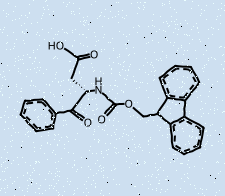 O=C(O)C[C@H](NC(=O)OCC1c2ccccc2-c2ccccc21)C(=O)c1ccccc1